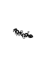 Cn1ccc2cc(C(=O)N[C@H]3COc4cc(N5CC6CC(C5)N6)c(F)cc4C3)cnc21